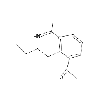 CCCCc1c(C(C)=N)cccc1C(C)=O